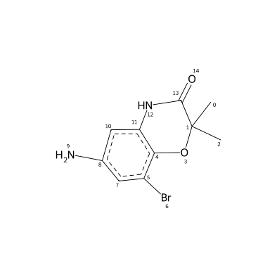 CC1(C)Oc2c(Br)cc(N)cc2NC1=O